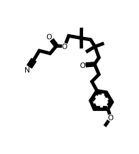 COc1ccc(CCC(=O)CC(C)(C)CC(C)(C)COC(=O)CCC#N)cc1